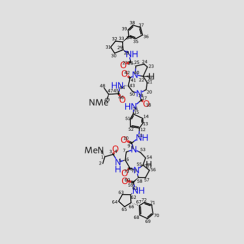 CN[C@@H](C)C(=O)N[C@H]1CN(C(=O)Nc2ccc(NC(=O)N3CC[C@H]4CC[C@@H](C(=O)N[C@H]5CCC[C@H]5c5ccccc5)N4C(=O)[C@@H](NC(=O)[C@H](C)NC)C3)cc2)CC[C@H]2CC[C@@H](C(=O)N[C@H]3CCC[C@H]3c3ccccc3)N2C1=O